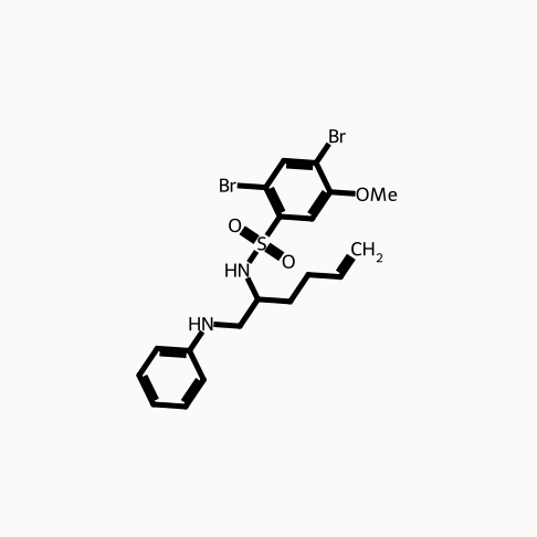 C=CCCC(CNc1ccccc1)NS(=O)(=O)c1cc(OC)c(Br)cc1Br